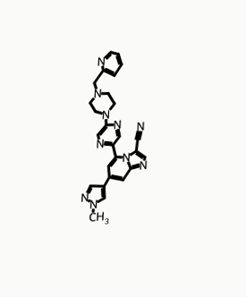 Cn1cc(-c2cc(-c3cnc(N4CCN(Cc5ccccn5)CC4)cn3)n3c(C#N)cnc3c2)cn1